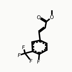 COC(=O)C=Cc1ccc(F)c(C(F)(F)F)c1